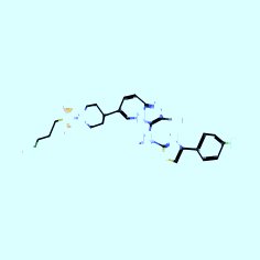 CCc1nc2ccc(C3CCN(S(=O)(=O)CCCCl)CC3)cn2c1N(C)c1nc(-c2ccc(F)cc2)cs1